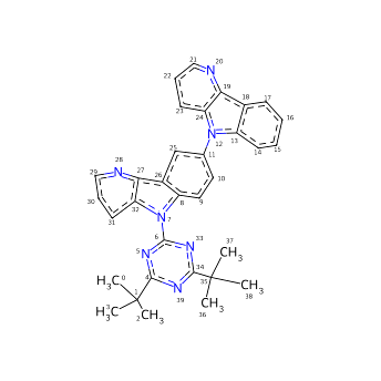 CC(C)(C)c1nc(-n2c3ccc(-n4c5ccccc5c5ncccc54)cc3c3ncccc32)nc(C(C)(C)C)n1